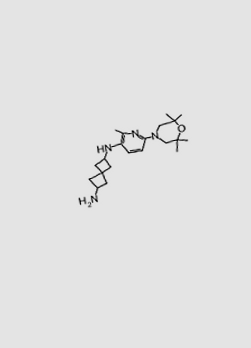 Cc1nc(N2CC(C)(C)OC(C)(C)C2)ccc1NC1CC2(CC(N)C2)C1